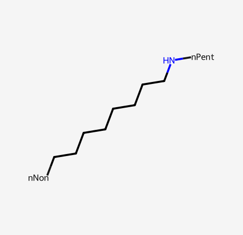 CCCCCCCCCCCCCCCCCNCCCCC